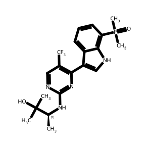 C[C@H](Nc1ncc(C(F)(F)F)c(-c2c[nH]c3c(P(C)(C)=O)cccc23)n1)C(C)(C)O